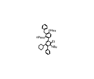 CCCCCCc1ccc(-c2[c]c(C3CCCCC3)c(-c3ccccc3)c(CCCC)c2CC)c(CCCCC)c1Cc1ccccc1